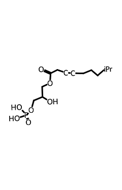 CC(C)CCCCCCC(=O)OCC(O)COP(=O)(O)O